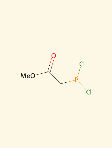 COC(=O)CP(Cl)Cl